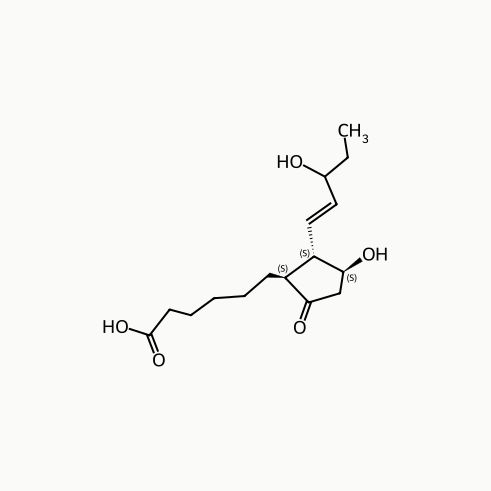 CCC(O)C=C[C@H]1[C@H](CCCCCC(=O)O)C(=O)C[C@@H]1O